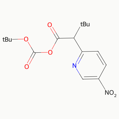 CC(C)(C)OC(=O)OC(=O)C(c1ccc([N+](=O)[O-])cn1)C(C)(C)C